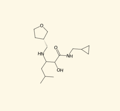 CC(C)CC(NC[C@@H]1CCOC1)C(O)C(=O)NCC1CC1